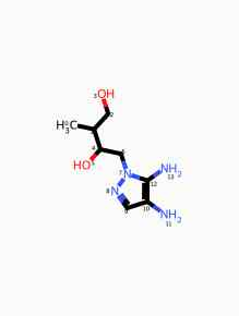 CC(CO)C(O)Cn1ncc(N)c1N